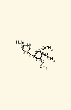 COc1cc(Cc2cnc(N)nc2)cc(OC)c1OC